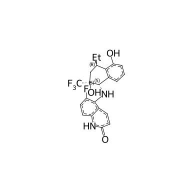 CC[C@@H]1C[C@@](O)(C(F)(F)F)[C@@H](Nc2c(F)ccc3[nH]c(=O)ccc23)c2cccc(O)c21